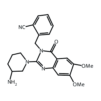 COc1cc2nc(N3CCCC(N)C3)n(Cc3ccccc3C#N)c(=O)c2cc1OC